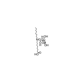 CCCCCCCCCCCCCCCCCC(=O)O.OCCN(CCO)C(O)(O)C(O)O